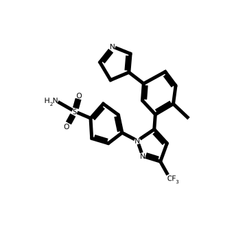 Cc1ccc(C2=CN=CC2)cc1-c1cc(C(F)(F)F)nn1-c1ccc(S(N)(=O)=O)cc1